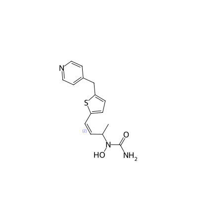 CC(/C=C\c1ccc(Cc2ccncc2)s1)N(O)C(N)=O